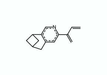 C=CC(=C)c1cc2c(cn1)C1CC(C2)C1